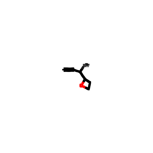 [C]#CC(CCC)C1CCO1